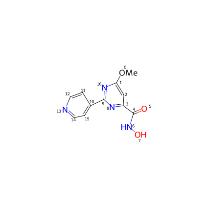 COc1cc(C(=O)NO)nc(-c2ccncc2)n1